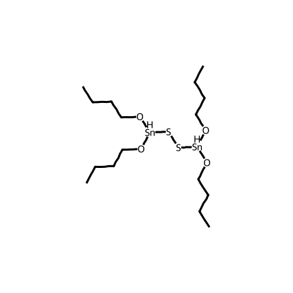 CCCC[O][SnH]([O]CCCC)[S][S][SnH]([O]CCCC)[O]CCCC